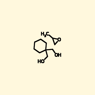 CC1CO1.OCC1(CO)CCCCC1